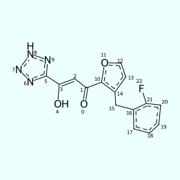 O=C(C=C(O)c1nn[nH]n1)c1occc1Cc1ccccc1F